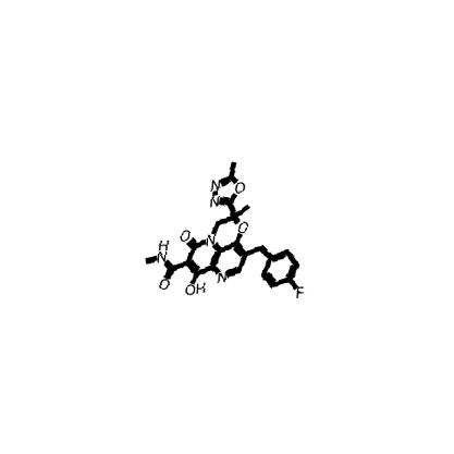 CNC(=O)c1c(O)c2ncc(Cc3ccc(F)cc3)c3c2n(c1=O)CC(C)(c1nnc(C)o1)O3